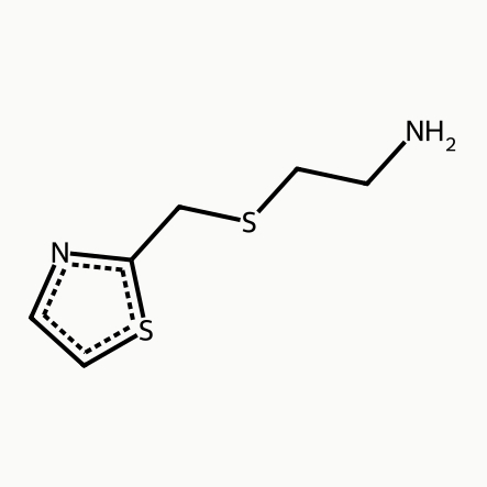 NCCSCc1nccs1